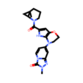 Cn1nc2cc(N3CCOc4cc(C(=O)N5CCCC6(C)CC56)[nH]c43)ccn2c1=O